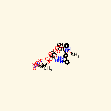 CCOc1nc2cccc(C(=O)OC(C)(C)OC(=O)O[C@@H]3CO[C@H]4[C@@H]3OC[C@H]4OC(=O)OCCC(C)(C)CC(CO[N+](=O)[O-])O[N+](=O)[O-])c2n1Cc1ccc(-c2ccccc2-c2nn[nH]n2)cc1